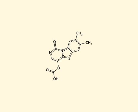 Cc1cc2sc3c(OC(=O)O)cnc(=O)n3c2cc1C